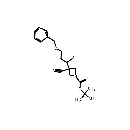 CC(C)(C)OC(=O)N1CC(C#N)(C(F)CCOCc2ccccc2)C1